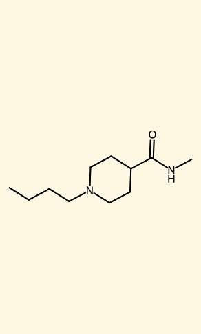 CCCCN1CCC(C(=O)NC)CC1